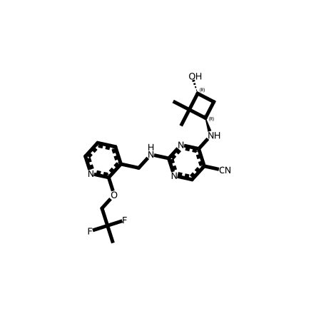 CC(F)(F)COc1ncccc1CNc1ncc(C#N)c(N[C@@H]2C[C@@H](O)C2(C)C)n1